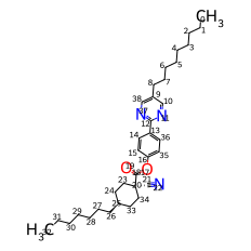 CCCCCCCCCc1cnc(-c2ccc(OC(=O)[C@]3(C#N)CC[C@H](CCCCCCC)CC3)cc2)nc1